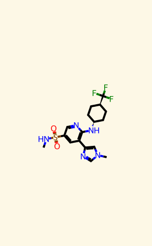 CNS(=O)(=O)c1cnc(N[C@H]2CC[C@H](C(F)(F)F)CC2)c(-c2cn(C)cn2)c1